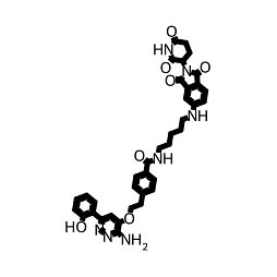 Nc1nnc(-c2ccccc2O)cc1OCCc1ccc(C(=O)NCCCCCNc2ccc3c(c2)C(=O)N(C2CCC(=O)NC2=O)C3=O)cc1